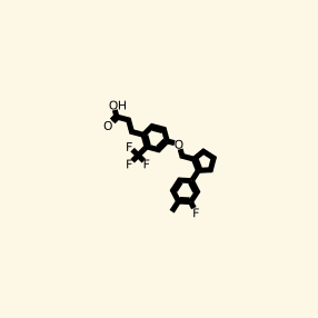 Cc1ccc(C2=C(COc3ccc(CCC(=O)O)c(C(F)(F)F)c3)CCC2)cc1F